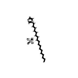 CCCCCCCCCCCCCCCCCC[n+]1ccsc1.[O-][Cl+3]([O-])([O-])[O-]